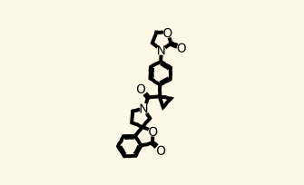 O=C1OC2(CCN(C(=O)C3(c4ccc(N5CCOC5=O)cc4)CC3)C2)c2ccccc21